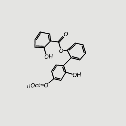 CCCCCCCCOc1ccc(-c2ccccc2OC(=O)c2ccccc2O)c(O)c1